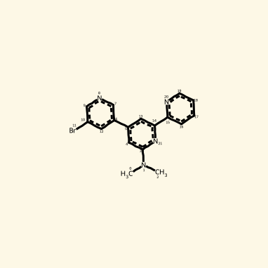 CN(C)c1cc(-c2cncc(Br)c2)cc(-c2ccccn2)n1